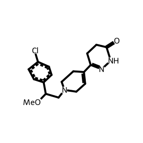 COC(CN1CC=C(C2=NNC(=O)CC2)CC1)c1ccc(Cl)cc1